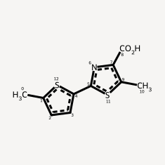 Cc1ccc(-c2nc(C(=O)O)c(C)s2)s1